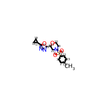 Cc1ccc(S(=O)(=O)N2CCO[C@@H](c3nnc(C4CC4)o3)C2)cc1